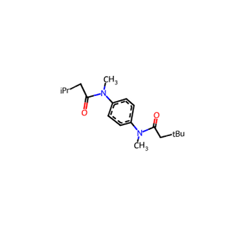 CC(C)CC(=O)N(C)c1ccc(N(C)C(=O)CC(C)(C)C)cc1